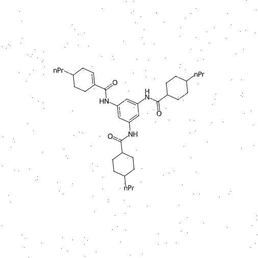 CCCC1CC=C(C(=O)Nc2cc(NC(=O)C3CCC(CCC)CC3)cc(NC(=O)C3CCC(CCC)CC3)c2)CC1